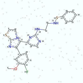 COc1cc(-c2nc3sccn3c2-c2ccnc(NCCNSc3ccccc3)n2)ccc1F